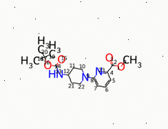 COC(=O)c1cccc(N2CCC(NC(=O)OC(C)(C)C)CC2)n1